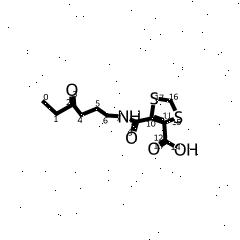 CCC(=O)CCCNC(=O)C1=C(C(=O)O)SCS1